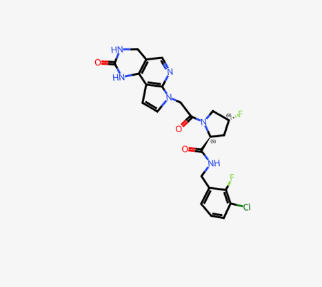 O=C1NCc2cnc3c(ccn3CC(=O)N3C[C@H](F)C[C@H]3C(=O)NCc3cccc(Cl)c3F)c2N1